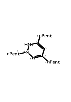 CCCCCC1=CC(CCCCC)=NN(CCCCC)N1